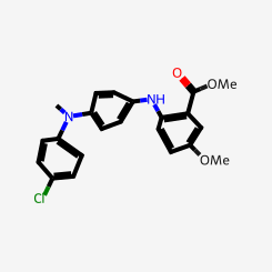 COC(=O)c1cc(OC)ccc1Nc1ccc(N(C)c2ccc(Cl)cc2)cc1